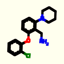 NCc1c(Oc2ccccc2Cl)cccc1N1CCCCC1